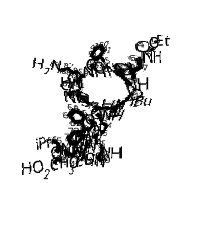 CCOCC(=O)NCCCC[C@@H]1NC(=O)C([C@@H](C)CC)NC(=O)[C@@H](NC(=O)C2CCCN2C(=O)[C@@H](NC(=O)[C@H](Cc2cnc[nH]2)NC(=O)[C@@H](NC(=O)[C@H](CCC(=O)O)NC(=O)CC(C)C)C(C)O)C(c2ccccc2)c2ccccc2)CSSC[C@@H](C(N)=O)NC(=O)[C@@H](CCCCN)NC(=O)C[C@H](Cc2ccccc2)NC1=O